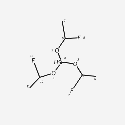 CC(F)O[SiH](OC(C)F)OC(C)F